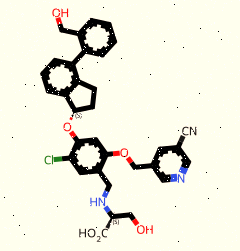 N#Cc1cncc(COc2cc(O[C@H]3CCc4c(-c5ccccc5CO)cccc43)c(Cl)cc2CN[C@@H](CO)C(=O)O)c1